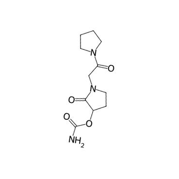 NC(=O)OC1CCN(CC(=O)N2CCCC2)C1=O